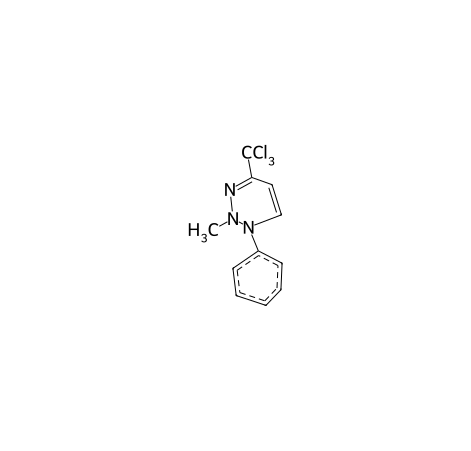 CN1N=C(C(Cl)(Cl)Cl)C=CN1c1ccccc1